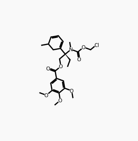 CC[C@@](COC(=O)c1cc(OC)c(OC)c(OC)c1)(C1=CC=CC(C)C1)N(C)C(=O)OCCl